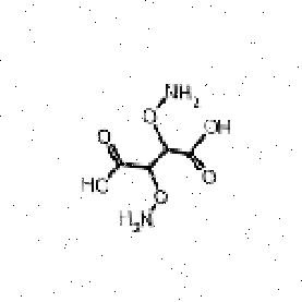 NOC(C(=O)O)C(ON)C(=O)O